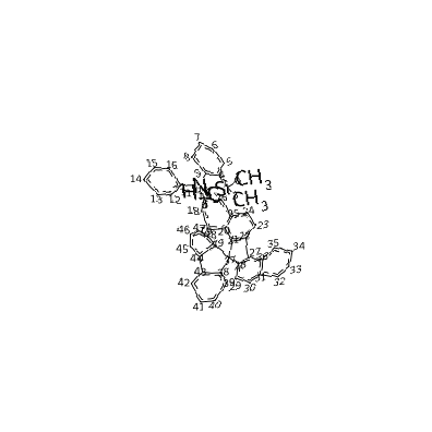 C[Si](C)(C)c1ccccc1N(c1ccccc1)c1ccc2c3c(ccc2c1)-c1c(ccc2ccccc12)C31c2ccccc2-c2ccccc21